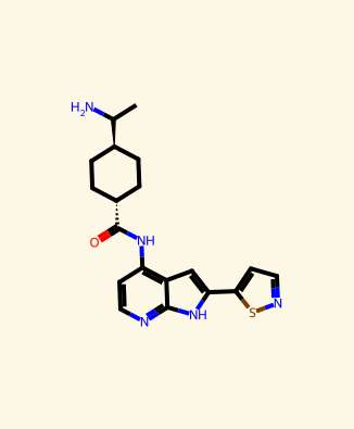 CC(N)[C@H]1CC[C@H](C(=O)Nc2ccnc3[nH]c(-c4ccns4)cc23)CC1